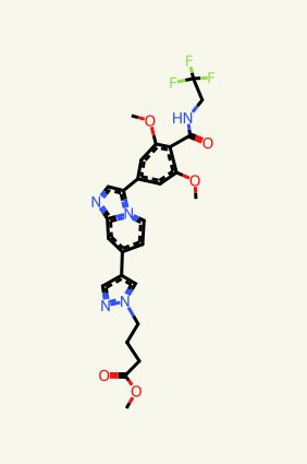 COC(=O)CCCn1cc(-c2ccn3c(-c4cc(OC)c(C(=O)NCC(F)(F)F)c(OC)c4)cnc3c2)cn1